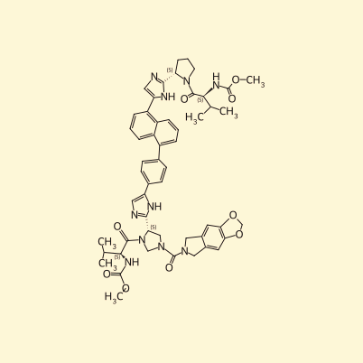 COC(=O)N[C@H](C(=O)N1CN(C(=O)N2Cc3cc4c(cc3C2)OCO4)C[C@H]1c1ncc(-c2ccc(-c3cccc4c(-c5cnc([C@@H]6CCCN6C(=O)[C@@H](NC(=O)OC)C(C)C)[nH]5)cccc34)cc2)[nH]1)C(C)C